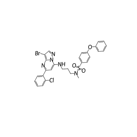 CN(CCCNc1cc(-c2ccccc2Cl)nc2c(Br)cnn12)S(=O)(=O)c1ccc(Oc2ccccc2)cc1